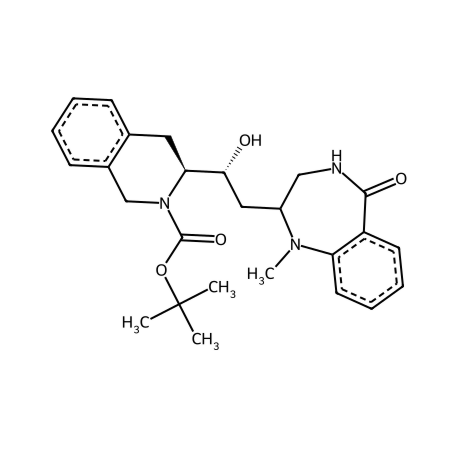 CN1c2ccccc2C(=O)NCC1C[C@@H](O)[C@@H]1Cc2ccccc2CN1C(=O)OC(C)(C)C